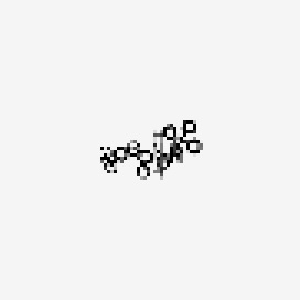 CS(=O)(=O)c1ccc(Oc2cc(O)cc(NC(=O)c3cn(C(c4ccccc4)(c4ccccc4)c4ccccc4)cn3)c2)cc1